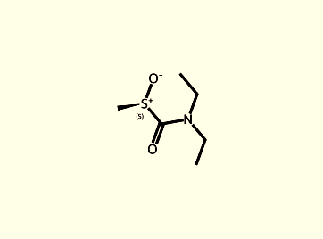 CCN(CC)C(=O)[S@@+](C)[O-]